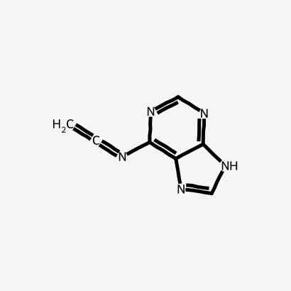 C=C=Nc1ncnc2[nH]cnc12